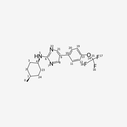 C[C@H]1CC[C@@H](Nc2ncc(-c3ccc(OC(F)(F)F)cc3)cn2)CC1